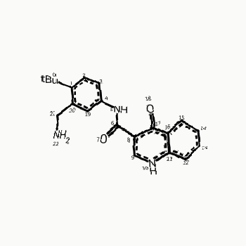 CC(C)(C)c1ccc(NC(=O)c2c[nH]c3ccccc3c2=O)cc1CN